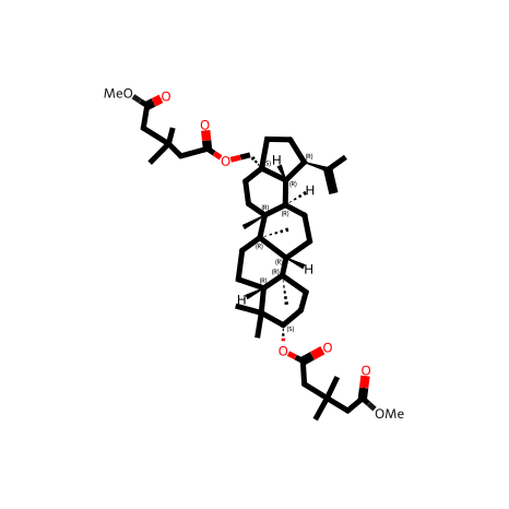 C=C(C)[C@@H]1CC[C@]2(COC(=O)CC(C)(C)CC(=O)OC)CC[C@]3(C)[C@H](CC[C@@H]4[C@@]5(C)CC[C@H](OC(=O)CC(C)(C)CC(=O)OC)C(C)(C)[C@@H]5CC[C@]43C)[C@@H]12